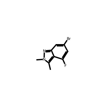 Cc1c2c(F)cc(Br)cc2nn1C